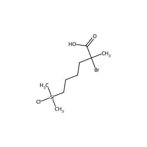 CC(Br)(CCCC[Si](C)(C)Cl)C(=O)O